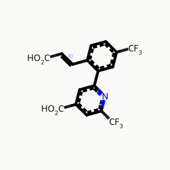 O=C(O)/C=C/c1ccc(C(F)(F)F)cc1-c1cc(C(=O)O)cc(C(F)(F)F)n1